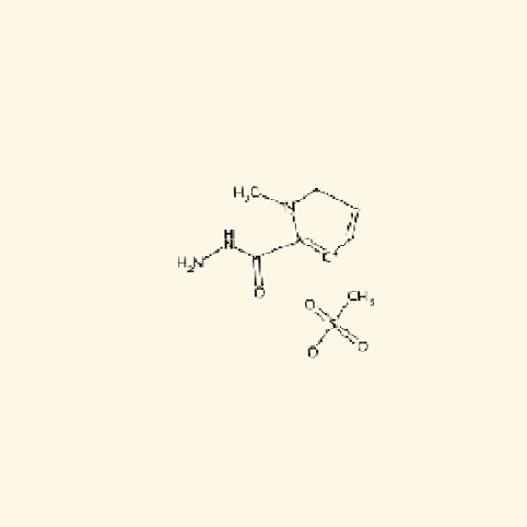 CN1CC=C[C+]=C1C(=O)NN.CS(=O)(=O)[O-]